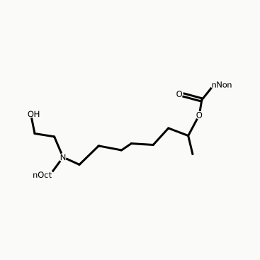 CCCCCCCCCC(=O)OC(C)CCCCCCN(CCO)CCCCCCCC